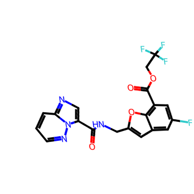 O=C(OCC(F)(F)F)c1cc(F)cc2cc(CNC(=O)c3cnc4cccnn34)oc12